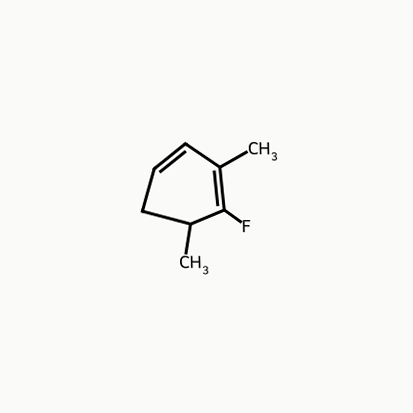 CC1=C(F)C(C)CC=C1